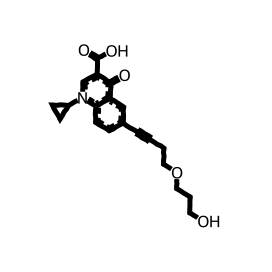 O=C(O)c1cn(C2CC2)c2ccc(C#CCCOCCCO)cc2c1=O